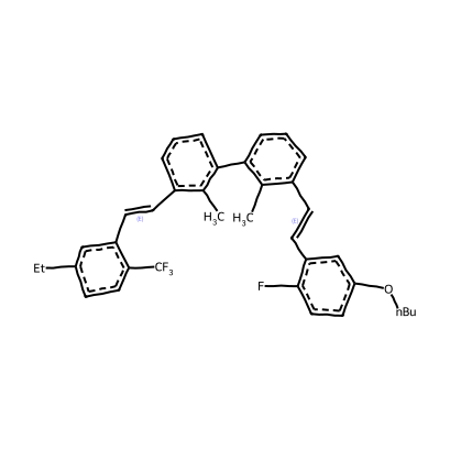 CCCCOc1ccc(F)c(/C=C/c2cccc(-c3cccc(/C=C/c4cc(CC)ccc4C(F)(F)F)c3C)c2C)c1